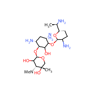 CN[C@@H]1C(O)[C@@H](O[C@@H]2C(O)C(O[C@H]3O[C@H]([C@@H](C)N)CCC3N)[C@@H](N)C[C@H]2N)OC[C@]1(C)O